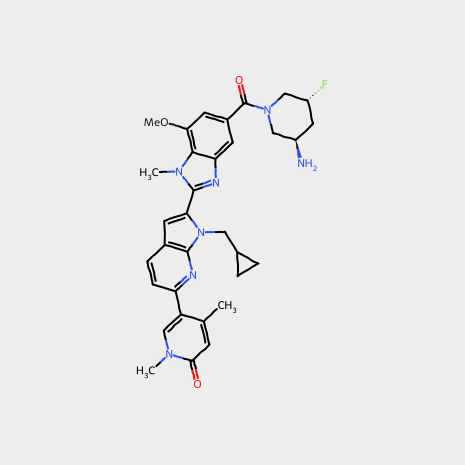 COc1cc(C(=O)N2C[C@H](N)C[C@@H](F)C2)cc2nc(-c3cc4ccc(-c5cn(C)c(=O)cc5C)nc4n3CC3CC3)n(C)c12